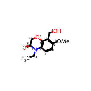 COc1ccc2c(c1CO)OCC(=O)N2CC(F)(F)F